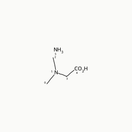 CN(C)CC(=O)O.N